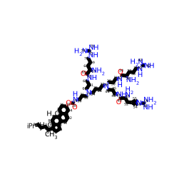 CC(C)CCCC(C)C1CCC2C3CC=C4CC(OC(=O)NCCCN(CCCCN(CCCNC(=O)C(N)CCCNC(=N)N)CCCNC(=O)C(N)CC5C6C5N6C(=N)N)CCCNC(=O)C(N)CCCNC(=N)N)CCC4(C)C3CCC12C